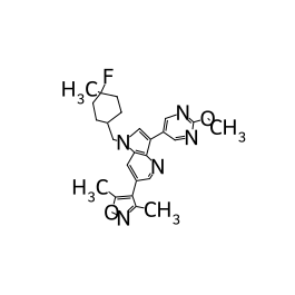 COc1ncc(-c2cn(CC3CCC(C)(F)CC3)c3cc(-c4c(C)noc4C)cnc23)cn1